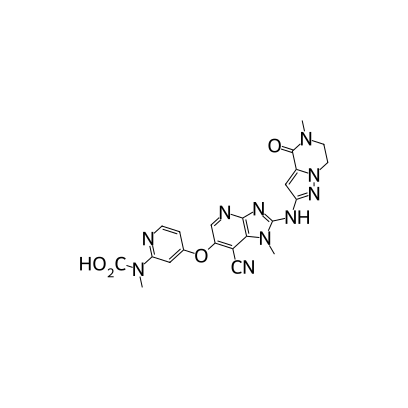 CN1CCn2nc(Nc3nc4ncc(Oc5ccnc(N(C)C(=O)O)c5)c(C#N)c4n3C)cc2C1=O